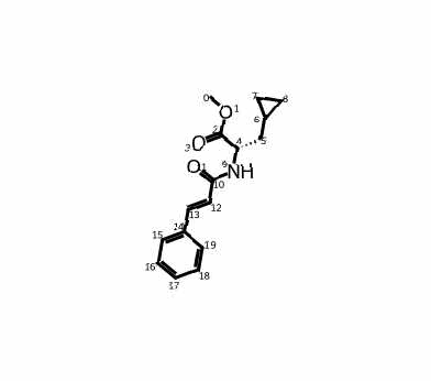 COC(=O)[C@H](CC1CC1)NC(=O)C=Cc1ccccc1